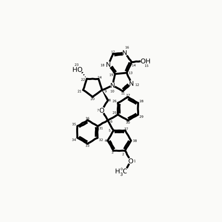 COc1ccc(C(OC[C@@]2(n3cnc4c(O)ncnc43)CC[C@H](O)C2)(c2ccccc2)c2ccccc2)cc1